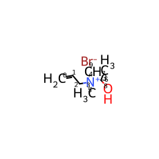 C=CC[N+](C)(C)C(C)O.[Br-]